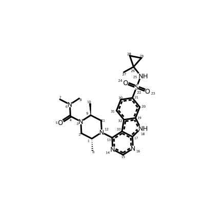 C[C@@H]1CN(C(=O)N(C)C)[C@@H](C)CN1c1ncnc2[nH]c3cc(S(=O)(=O)NC4(C)CC4)ccc3c12